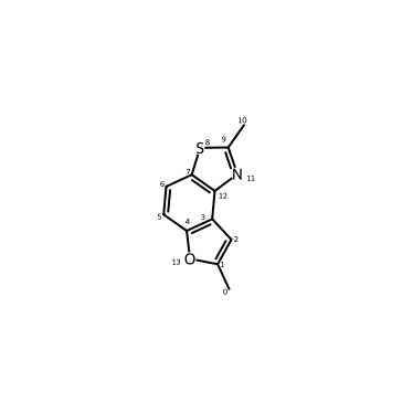 Cc1cc2c(ccc3sc(C)nc32)o1